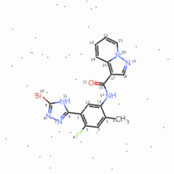 Cc1cc(F)c(-c2nnc(Br)[nH]2)cc1NC(=O)c1cnn2ccccc12